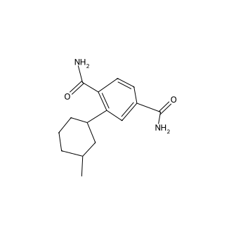 CC1CCCC(c2cc(C(N)=O)ccc2C(N)=O)C1